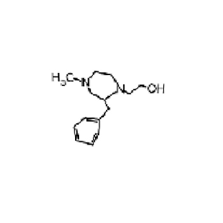 CN1CCN(CCO)C(Cc2ccccc2)C1